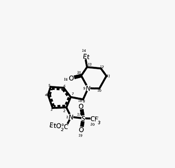 CCOC(=O)N(c1ccccc1CN1CCCC(CC)C1=O)S(=O)(=O)C(F)(F)F